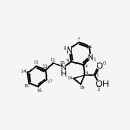 O=C(O)C1(c2nccnc2NCc2ccccc2)CC1